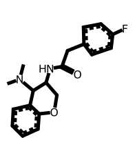 CN(C)C1c2ccccc2OCC1NC(=O)Cc1ccc(F)cc1